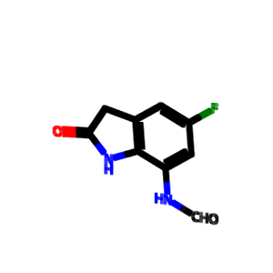 O=CNc1cc(F)cc2c1NC(=O)C2